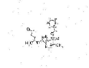 CC(CCC=O)Oc1cn([C@H](C(=O)OCc2ccccc2)C(C)C)nn1